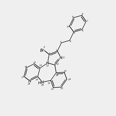 Brc1c(CCc2ccccc2)nc2n1-c1cccnc1Nc1ccccc1-2